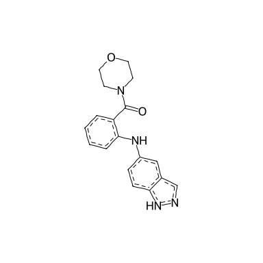 O=C(c1ccccc1Nc1ccc2[nH]ncc2c1)N1CCOCC1